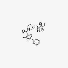 C=CS(=O)(=O)NC[C@H]1CCN(C(=O)c2nc(-c3ccccc3)oc2C)C1